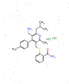 Cc1ccc(-c2c(CSc3ccccc3C(N)=O)c(C)nc(CC(C)C)c2CN)cc1.Cl.Cl